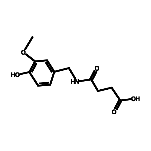 COc1cc(CNC(=O)CCC(=O)O)ccc1O